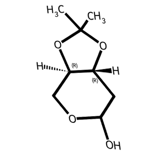 CC1(C)O[C@@H]2COC(O)C[C@H]2O1